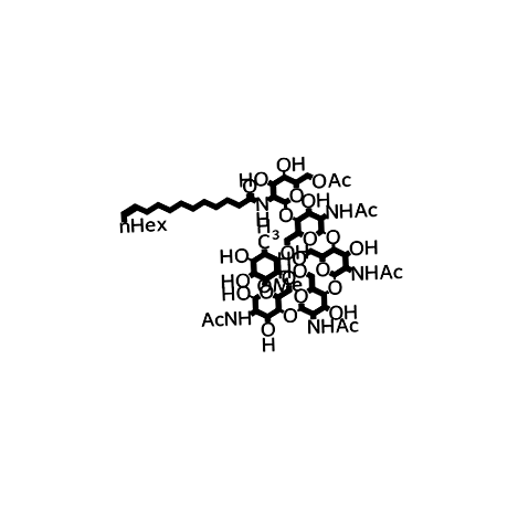 CCCCCC/C=C\CCCCCCCCCC(=O)NC1C(O)[C@H](O)C(COC(C)=O)O[C@H]1O[C@@H]1C(CO)O[C@@H](O[C@@H]2C(CO)O[C@@H](O[C@@H]3C(CO)O[C@@H](O[C@@H]4C(CO[C@@H]5CC(C)[C@@H](O)C(O)C5OC)O[C@@H](O)C(NC(C)=O)C4O)C(NC(C)=O)C3O)C(NC(C)=O)C2O)C(NC(C)=O)C1O